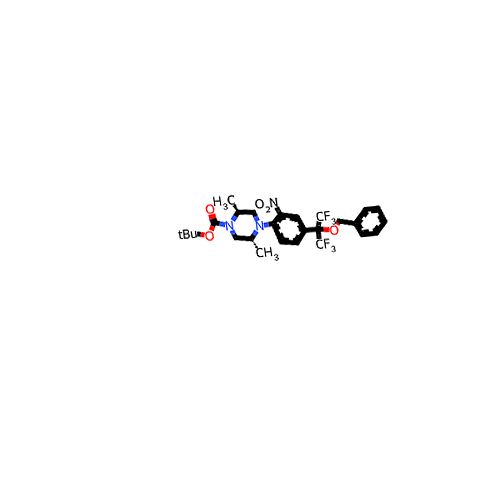 C[C@@H]1CN(C(=O)OC(C)(C)C)[C@@H](C)CN1c1ccc(C(OCc2ccccc2)(C(F)(F)F)C(F)(F)F)cc1[N+](=O)[O-]